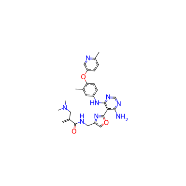 C=C(CN(C)C)C(=O)NCc1coc(-c2c(N)ncnc2Nc2ccc(Oc3ccc(C)nc3)c(C)c2)n1